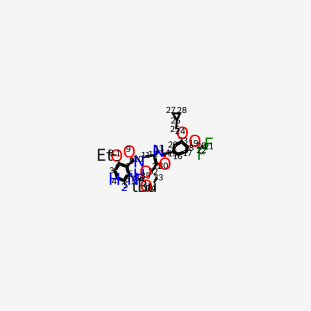 CCOc1ccccc1C(=O)NCc1nc(-c2ccc(OC(F)F)c(OCC3CC3)c2)oc1[C@H](CC(C)(C)C)OC(N)=O